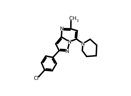 Cc1cc(N2CCCCC2)n2nc(-c3ccc(Cl)cc3)cc2n1